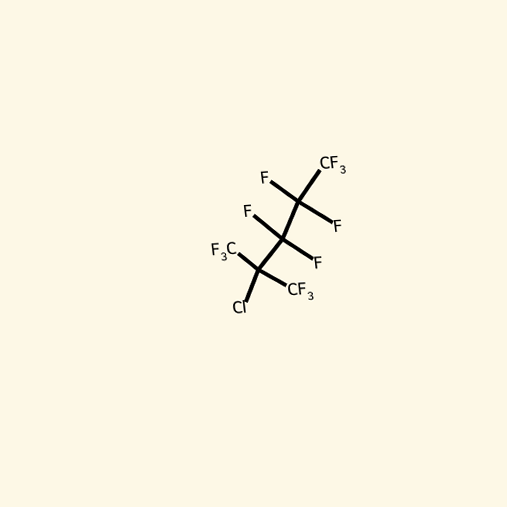 FC(F)(F)C(F)(F)C(F)(F)C(Cl)(C(F)(F)F)C(F)(F)F